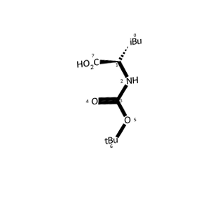 CC[C@@H](C)[C@@H](NC(=O)OC(C)(C)C)C(=O)O